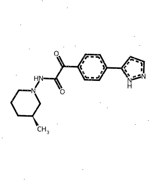 C[C@H]1CCCN(NC(=O)C(=O)c2ccc(-c3ccn[nH]3)cc2)C1